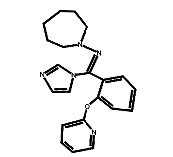 c1ccc(Oc2ccccc2C(=NN2CCCCCC2)n2ccnc2)nc1